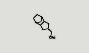 CC(=O)OCC1CC2C3CCC(C3)C2C1